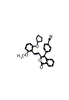 COc1cccc(OC2CCCC2)c1/C=C/c1oc(=O)c2ccccc2c1-c1ccc(C#N)cc1